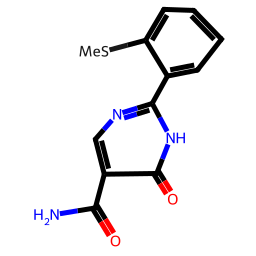 CSc1ccccc1-c1ncc(C(N)=O)c(=O)[nH]1